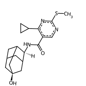 CSc1ncc(C(=O)N[C@H]2C3CC4CC2C[C@@](O)(C4)C3)c(C2CC2)n1